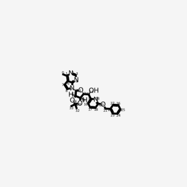 Cc1ncnc2c1ccn2[C@@H]1O[C@H]([C@H](O)c2cccc(OCc3ccccc3)n2)[C@H]2OC(C)(C)O[C@H]21